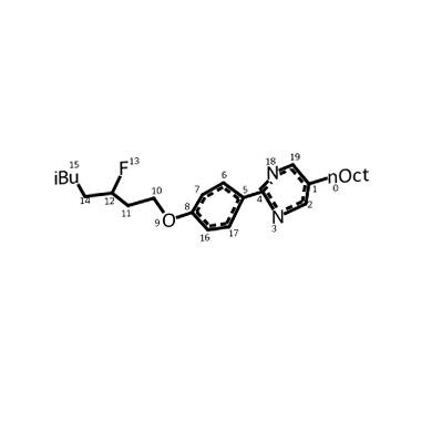 CCCCCCCCc1cnc(-c2ccc(OCCC(F)CC(C)CC)cc2)nc1